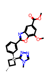 COC(=O)c1cc(OC)c2oc(-c3cccc([Si@]4(c5nncn5C)C[C@@H](C)C4)c3)nc2c1